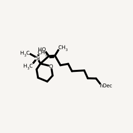 CCCCCCCCCCCCCCCCC(C)=C(O)C1([Si](C)(C)C)CCCCO1